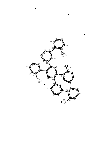 Cc1ccccc1-c1cc(-c2cccc(-c3ncccc3C)n2)c(-c2ccccc2C(F)(F)F)cc1-c1cccc(-c2ncccc2C)n1